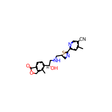 Cc1cc(-c2ncc(CNC[C@H](O)c3ccc4c(c3C)COC4=O)s2)ncc1C#N